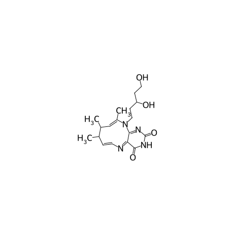 C/C1=C\C(C)C(C)/C=C/N=C2/C(=O)NC(=O)N=C2N1CCC(O)CCO